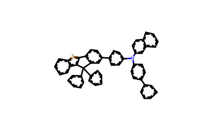 c1ccc(-c2ccc(N(c3ccc(-c4ccc5c(c4)C(c4ccccc4)(c4ccccc4)c4c-5sc5ccccc45)cc3)c3ccc4ccccc4c3)cc2)cc1